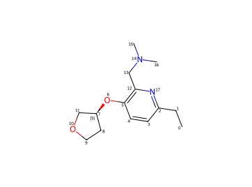 CCc1ccc(O[C@H]2CCOC2)c(CN(C)C)n1